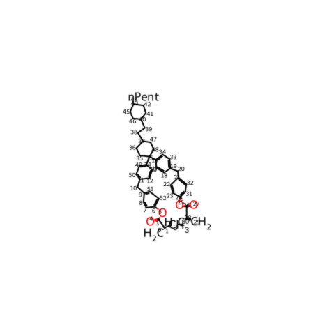 C=C(C)C(=O)Oc1ccc(Cc2ccc(C3(c4ccc(Cc5ccc(OC(=O)C(=C)C)cc5)cc4)CCC(CCC4CCC(CCCCC)CC4)CC3)cc2)cc1